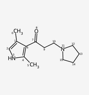 Cc1[c][nH]c(C)c1C(=O)CCN1CCCC1